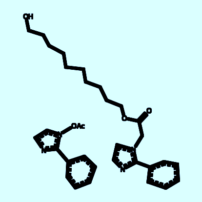 CC(=O)On1ccnc1-c1ccccc1.O=C(Cn1ccnc1-c1ccccc1)OCCCCCCCCCCO